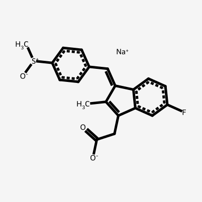 CC1=C(CC(=O)[O-])c2cc(F)ccc2/C1=C/c1ccc([S+](C)[O-])cc1.[Na+]